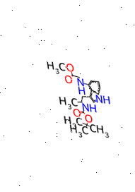 COC(=O)CNc1cccc2[nH]cc(CC(C)NC(=O)OC(C)(C)C)c12